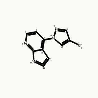 Brc1cnn(-c2ccnc3c2C=C=N3)c1